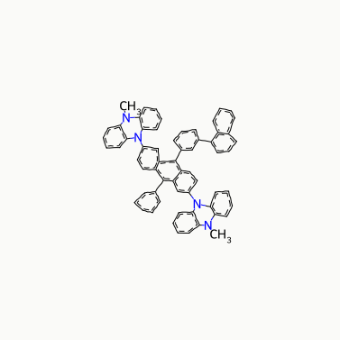 CN1c2ccccc2N(c2ccc3c(-c4cccc(-c5cccc6ccccc56)c4)c4cc(N5c6ccccc6N(C)c6ccccc65)ccc4c(-c4ccccc4)c3c2)c2ccccc21